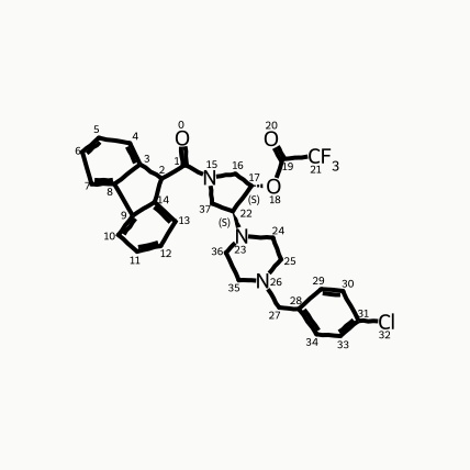 O=C(C1c2ccccc2-c2ccccc21)N1C[C@H](OC(=O)C(F)(F)F)[C@@H](N2CCN(Cc3ccc(Cl)cc3)CC2)C1